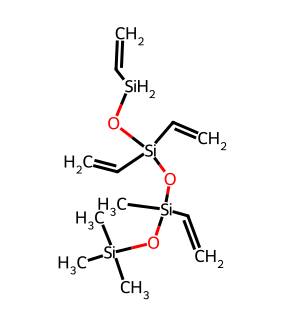 C=C[SiH2]O[Si](C=C)(C=C)O[Si](C)(C=C)O[Si](C)(C)C